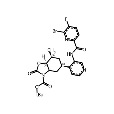 C[C@H]1C[C@@H](c2ccncc2NC(=O)c2ccc(F)c(Br)n2)CC2[C@H]1OC(=O)N2C(=O)OC(C)(C)C